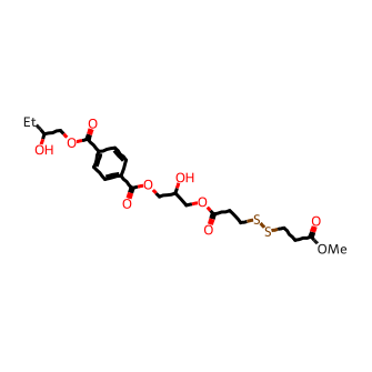 CCC(O)COC(=O)c1ccc(C(=O)OCC(O)COC(=O)CCSSCCC(=O)OC)cc1